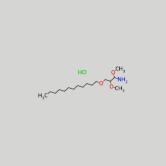 CCCCCCCCCCCCOCC(OC)C(N)OC.Cl